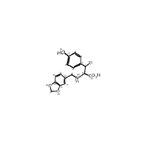 CCC(c1ccc(O)cc1)C(NCc1ccc2c(c1)OCO2)C(=O)O